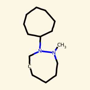 CN1CCCCCCN1C1CCCCCCC1